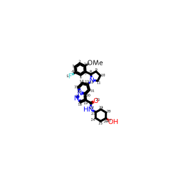 COc1ccc(F)cc1C1CCCN1c1ccn2ncc(C(=O)NC3CCC(O)CC3)c2c1